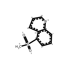 CS(=O)(=O)c1cccc2ncccc12